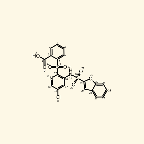 O=C(O)c1ccccc1S(=O)(=O)c1ncc(Cl)cc1NS(=O)(=O)c1cc2ccccc2o1